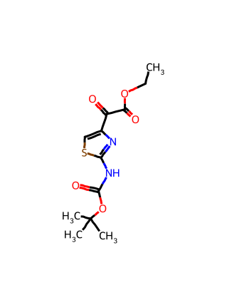 CCOC(=O)C(=O)c1csc(NC(=O)OC(C)(C)C)n1